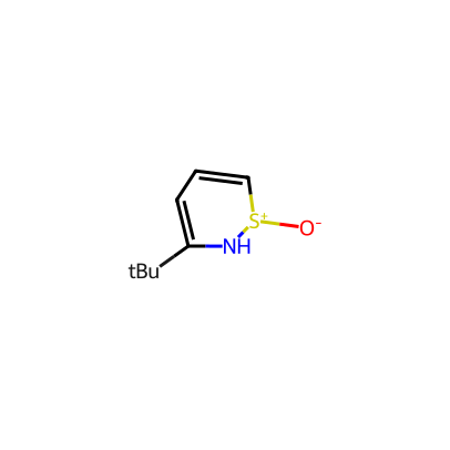 CC(C)(C)C1=CC=C[S+]([O-])N1